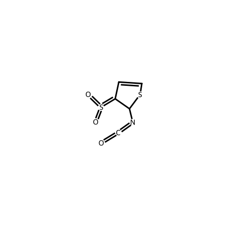 O=C=NC1SC=CC1=S(=O)=O